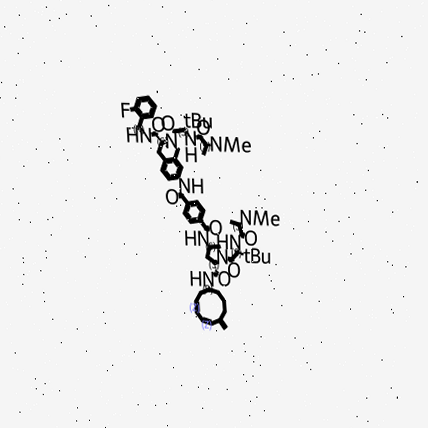 C=C1/C=C\C=C/C[C@H](NC(=O)[C@@H]2C[C@H](NC(=O)c3ccc(C(=O)Nc4ccc5c(c4)CN(C(=O)[C@@H](NC(=O)[C@H](C)NC)C(C)(C)C)[C@H](C(=O)N[C@H](C)c4ccccc4F)C5)cc3)CN2C(=O)[C@@H](NC(=O)[C@H](C)NC)C(C)(C)C)CCC1